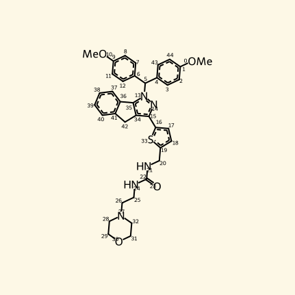 COc1ccc(C(c2ccc(OC)cc2)n2nc(-c3ccc(CNC(=O)NCCN4CCOCC4)s3)c3c2-c2ccccc2C3)cc1